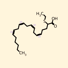 CCCCC/C=C\C/C=C\C/C=C\C/C=C\CCC(SCC)C(=O)O